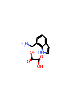 NCc1cccc2cc[nH]c12.O=C(O)C(=O)O